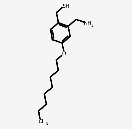 CCCCCCCCOc1ccc(CS)c(CN)c1